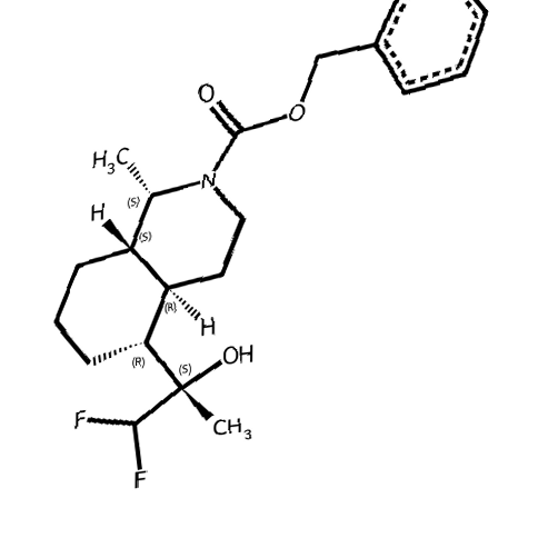 C[C@H]1[C@H]2CCC[C@@H]([C@](C)(O)C(F)F)[C@@H]2CCN1C(=O)OCc1ccccc1